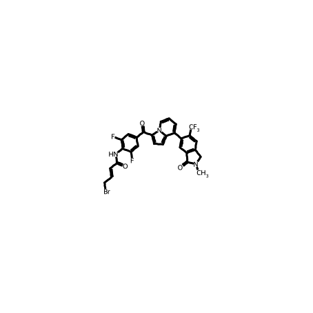 CN1Cc2cc(C(F)(F)F)c(-c3cccn4c(C(=O)c5cc(F)c(NC(=O)/C=C/CBr)c(F)c5)ccc34)cc2C1=O